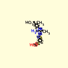 Cc1cc(-n2nc(C)c(/N=N/c3nc4cc(SOOO)ccc4s3)c2N)ccc1S(=O)(=O)O